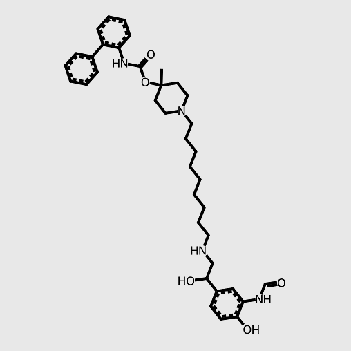 CC1(OC(=O)Nc2ccccc2-c2ccccc2)CCN(CCCCCCCCCNCC(O)c2ccc(O)c(NC=O)c2)CC1